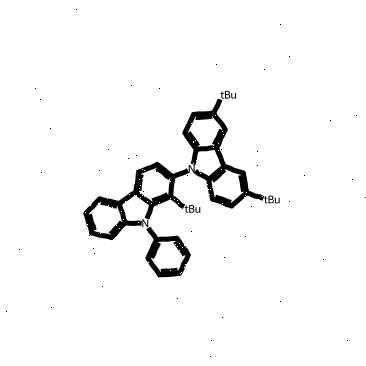 CC(C)(C)c1ccc2c(c1)c1cc(C(C)(C)C)ccc1n2-c1ccc2c3ccccc3n(-c3ccccc3)c2c1C(C)(C)C